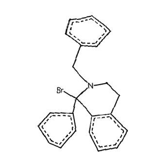 BrC1(c2ccccc2)c2ccccc2CCN1Cc1ccccc1